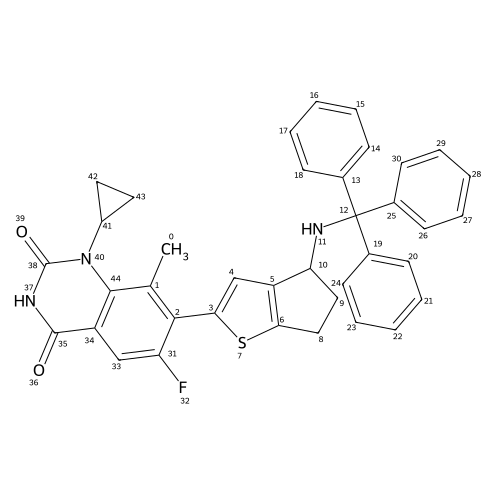 Cc1c(-c2cc3c(s2)CCC3NC(c2ccccc2)(c2ccccc2)c2ccccc2)c(F)cc2c(=O)[nH]c(=O)n(C3CC3)c12